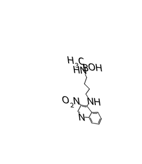 CB(O)NCCCCNc1c([N+](=O)[O-])cnc2ccccc12